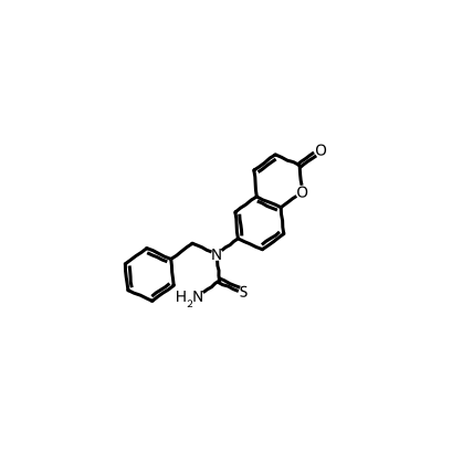 NC(=S)N(Cc1ccccc1)c1ccc2oc(=O)ccc2c1